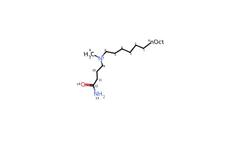 CCCCCCCCCCCCCCN(C)CCCC(N)=O